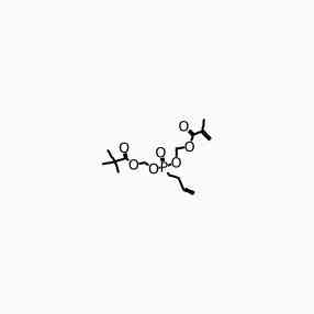 C=CCCP(=O)(OCOC(=O)C(=C)C)OCOC(=O)C(C)(C)C